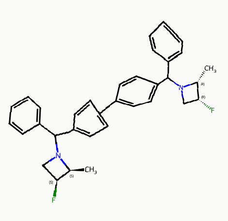 C[C@@H]1[C@H](F)CN1C(c1ccccc1)c1ccc(-c2ccc(C(c3ccccc3)N3C[C@H](F)[C@@H]3C)cc2)cc1